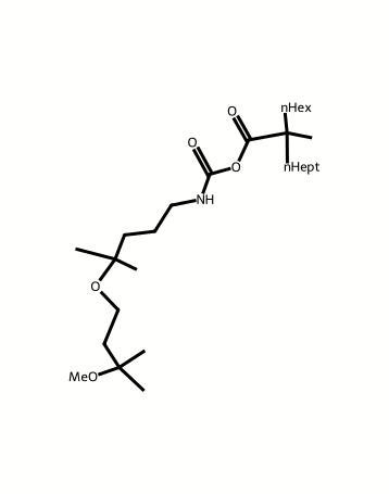 CCCCCCCC(C)(CCCCCC)C(=O)OC(=O)NCCCC(C)(C)OCCC(C)(C)OC